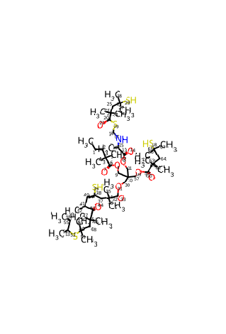 CCCC(C)(C)C(=O)OCC(COC(=O)C(C)NCSC(=O)C(C)(C)CC(C)(C)S)(COC(=O)C(C)(C)C/C(S)=C\C(C)C(=O)C(C)(C)CC(C)(C)SC(C)CC)COC(=O)C(C)(C)CC(C)(C)S